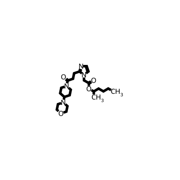 CCCCC(C)OC(=O)Cn1ccnc1CCC(=O)N1CCC(N2CCOCC2)CC1